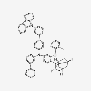 Cc1ccccc1Oc1cc(N(c2ccc(-c3cccc(-n4c5ccccc5c5ccccc54)c3)cc2)c2cccc(-c3ccccc3)c2)ccc1C1[C@H]2C[C@H]3C[C@H](C[C@H]1C3)C2